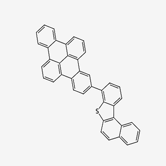 c1ccc2c(c1)ccc1sc3c(-c4ccc5c(c4)c4cccc6c7ccccc7c7cccc5c7c64)cccc3c12